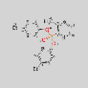 CCc1ccc(OP(=O)(Oc2ccc(CC)cc2)c2ccccc2C)cc1